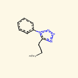 CCCCCCCCCCc1nnnn1-c1ccccc1